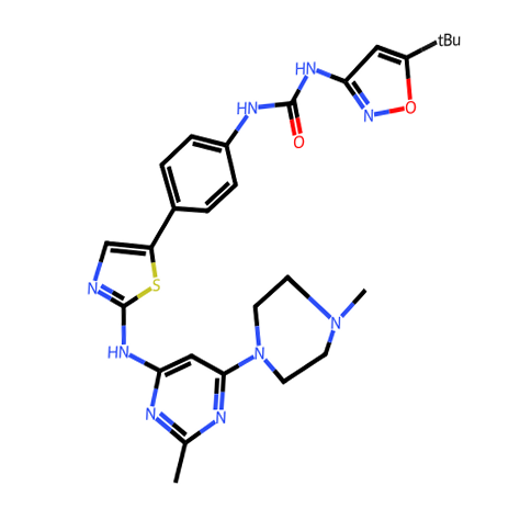 Cc1nc(Nc2ncc(-c3ccc(NC(=O)Nc4cc(C(C)(C)C)on4)cc3)s2)cc(N2CCN(C)CC2)n1